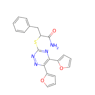 NC(=O)C(Cc1ccccc1)Sc1nnc(-c2ccco2)c(-c2ccco2)n1